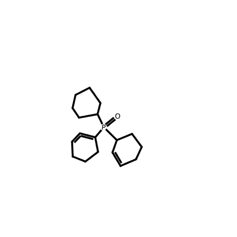 O=P(C1=C=CCCC1)(C1C=CCCC1)C1CCCCC1